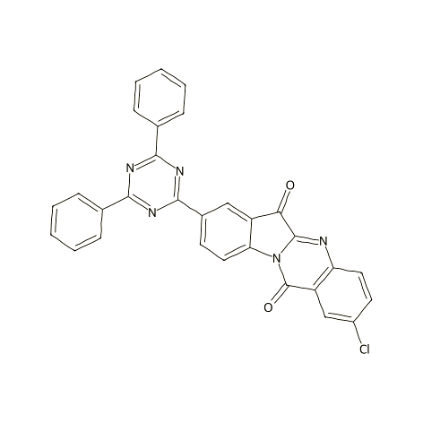 O=C1c2cc(-c3nc(-c4ccccc4)nc(-c4ccccc4)n3)ccc2-n2c1nc1ccc(Cl)cc1c2=O